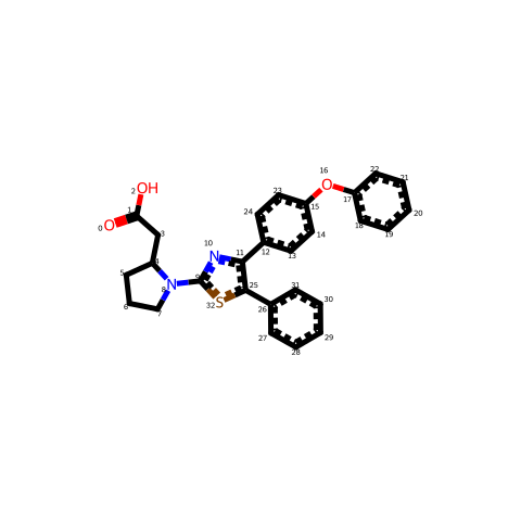 O=C(O)CC1CCCN1c1nc(-c2ccc(Oc3ccccc3)cc2)c(-c2ccccc2)s1